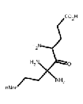 CCCCCCCCCCCC(N)(N)C(=O)C(N)CCC(=O)O